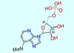 CNc1ccnc2c1ncn2C1O[C@H](COP(=O)(O)O)[C@@H](O)[C@H]1O